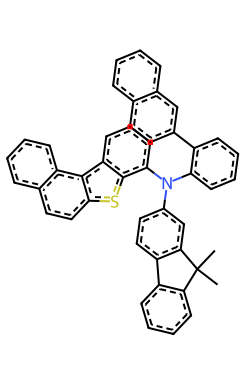 CC1(C)c2ccccc2-c2ccc(N(c3ccccc3-c3ccc4ccccc4c3)c3cccc4c3sc3ccc5ccccc5c34)cc21